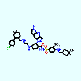 CC1(C)CCC(CNCCNc2ccc(C(=O)NS(=O)(=O)c3ccc(NCC4CCC(C)(C#N)CC4)c([N+](=O)[O-])c3)c(-n3ncc4nc5[nH]ccc5cc43)c2)=C(c2ccc(Cl)cc2)C1